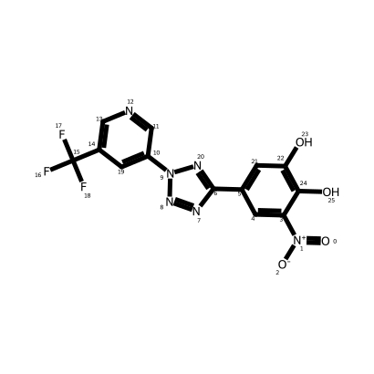 O=[N+]([O-])c1cc(-c2nnn(-c3cncc(C(F)(F)F)c3)n2)cc(O)c1O